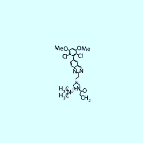 C=CC(=O)N1C[C@@H](CCc2ncc3cc(-c4c(Cl)c(OC)cc(OC)c4Cl)ccc3n2)C[C@H]1CN(C)C